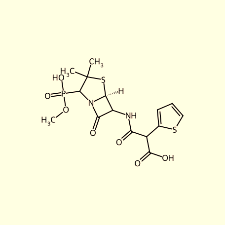 COP(=O)(O)C1N2C(=O)C(NC(=O)C(C(=O)O)c3cccs3)[C@@H]2SC1(C)C